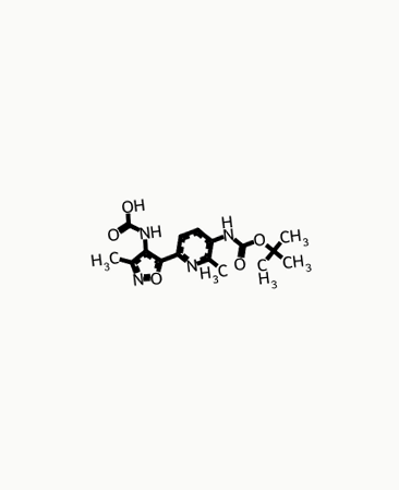 Cc1nc(-c2onc(C)c2NC(=O)O)ccc1NC(=O)OC(C)(C)C